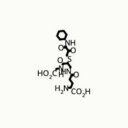 NC(CCC(=O)NCC(SCC(=O)C(=O)NC1CCCCC1)C(=O)NCC(=O)O)C(=O)O